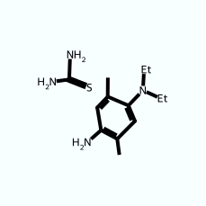 CCN(CC)c1cc(C)c(N)cc1C.NC(N)=S